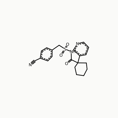 N#Cc1ccc(CS(=O)(=O)NC(=O)C2(c3cccnc3)CCCCC2)cc1